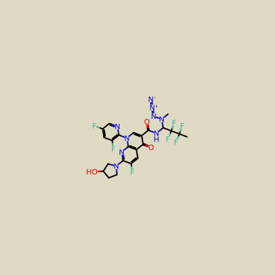 CN(N=[N+]=[N-])C(NC(=O)c1cn(-c2ncc(F)cc2F)c2nc(N3CCC(O)C3)c(F)cc2c1=O)C(F)(F)C(C)(F)F